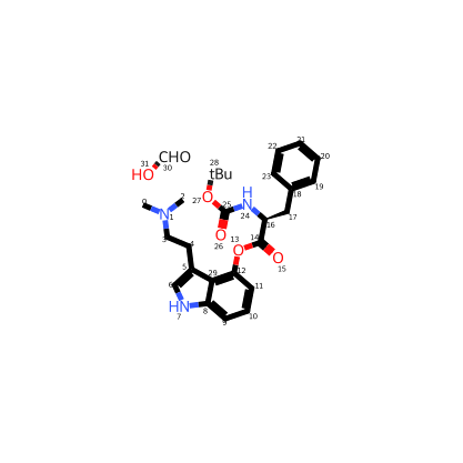 CN(C)CCc1c[nH]c2cccc(OC(=O)[C@H](Cc3ccccc3)NC(=O)OC(C)(C)C)c12.O=CO